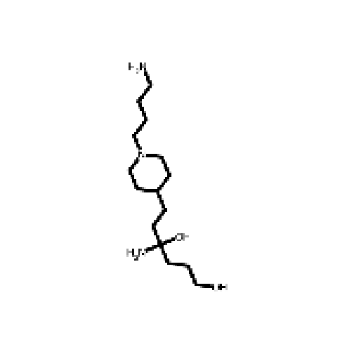 NCCCCN1CCC(CCC(N)(O)CCCO)CC1